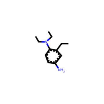 CCc1cc(N)ccc1N(CC)CC